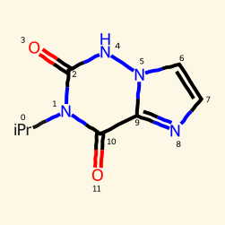 CC(C)n1c(=O)[nH]n2ccnc2c1=O